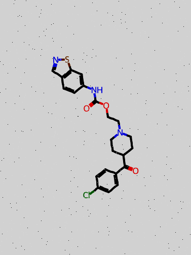 O=C(Nc1ccc2cnsc2c1)OCCN1CCC(C(=O)c2ccc(Cl)cc2)CC1